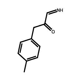 Cc1ccc(CC(=O)C=N)cc1